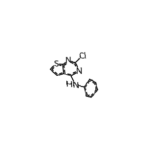 Clc1nc(Nc2ccccc2)c2ccsc2n1